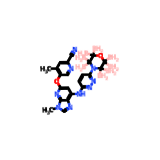 BC1(B)OC(B)(B)C(B)(B)N(c2ccc(Nc3cc(Oc4cnc(C#N)cc4C)nc4c3ncn4C)nn2)C1(B)B